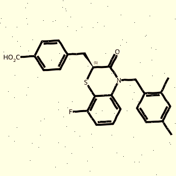 Cc1ccc(CN2C(=O)[C@H](Cc3ccc(C(=O)O)cc3)Sc3c(F)cccc32)c(C)c1